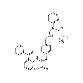 CC(C)(C)C(=O)N(CCOc1ccc(C[C@H](Nc2ccccc2C(=O)c2ccccc2)C(=O)O)cc1)c1ccccc1